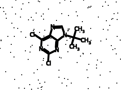 CC(C)(C)n1cnc2c(Cl)nc(Cl)nc21